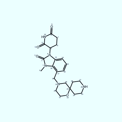 Cn1c(=O)n(C2CCC(=O)NC2=O)c2cccc(CN3CCOC4(CCNCC4)C3)c21